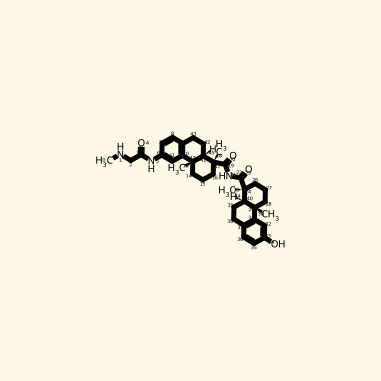 CNCC(=O)Nc1ccc2c(c1)[C@@]1(C)CCC[C@](C)(C(=O)NC(=O)[C@@]3(C)CCC[C@]4(C)c5cc(O)ccc5CC[C@@H]34)[C@@H]1CC2